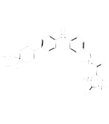 CC1(C)CCC(c2ccc(Nc3ccc(CNC(=O)C4CNC(=O)N4)cc3)cc2)CC1